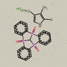 CC1=C[AsH][C]([Zr])=C1C.Cl.Cl.O=P(c1ccccc1)(c1ccccc1)C(P(=O)(c1ccccc1)c1ccccc1)P(=O)(c1ccccc1)c1ccccc1